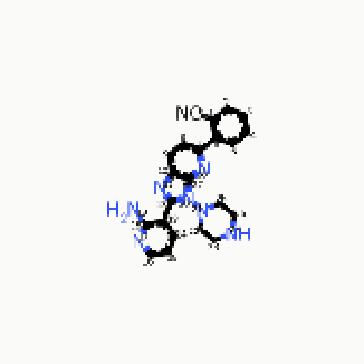 N#Cc1ccccc1-c1ccc2nc(-c3cccnc3N)n(N3CCNCC3)c2n1